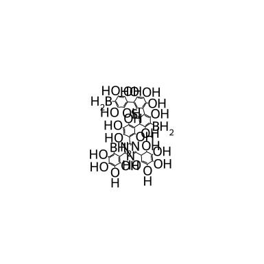 Bc1c(O)c(O)c(-c2c(O)c(O)c(O)c3c2sc2c(-c4c(O)c(O)c(O)c(-c5nc(-c6c(B)c(O)c(O)c(O)c6O)nc(C6C(O)=C(O)C(O)=C(O)C6O)n5)c4O)c(O)c(B)c(O)c23)c(O)c1O